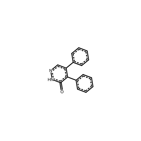 O=c1[nH]ncc(-c2ccccc2)c1-c1ccccc1